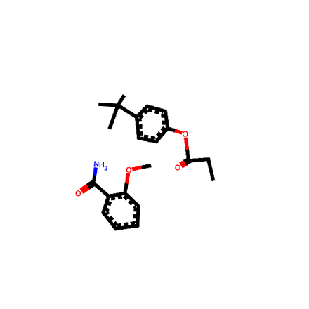 CCC(=O)Oc1ccc(C(C)(C)C)cc1.COc1ccccc1C(N)=O